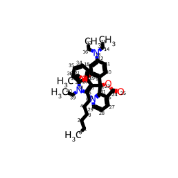 CCCCCCc1c(C2(c3ccc(N(CC)CC)cc3OCC)OC(=O)c3cccnc32)c2ccccc2n1CC